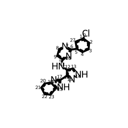 Clc1cccc(-c2nccc(Nc3c[nH]nc3-c3nc4ccccc4[nH]3)n2)c1